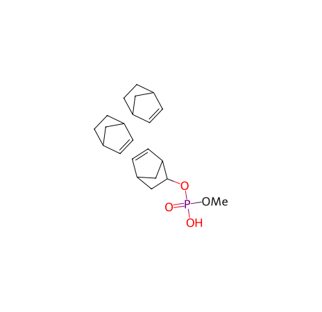 C1=CC2CCC1C2.C1=CC2CCC1C2.COP(=O)(O)OC1CC2C=CC1C2